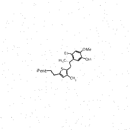 CCCC(C)CCc1cc(C)c(C[C@H](C)c2cc(O)c(OC)cc2CC)s1